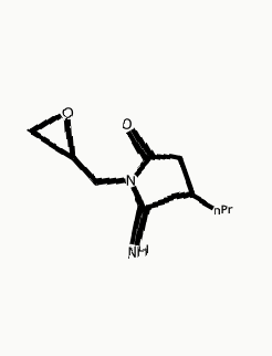 CCCC1CC(=O)N(CC2CO2)C1=N